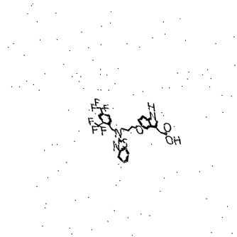 O=C(O)Cc1c[nH]c2ccc(OCCCN(Cc3ccc(C(F)(F)F)cc3C(F)(F)F)c3nc4ccccc4s3)cc12